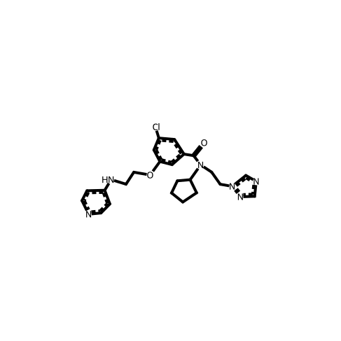 O=C(c1cc(Cl)cc(OCCNc2ccncc2)c1)N(CCn1cncn1)C1CCCC1